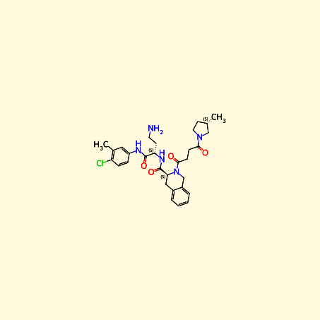 Cc1cc(NC(=O)[C@H](CCN)NC(=O)[C@@H]2Cc3ccccc3CN2C(=O)CCC(=O)N2CC[C@H](C)C2)ccc1Cl